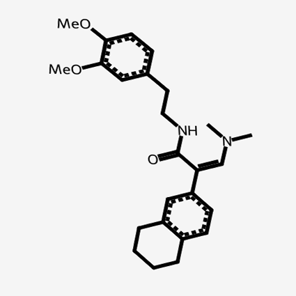 COc1ccc(CCNC(=O)/C(=C\N(C)C)c2ccc3c(c2)CCCC3)cc1OC